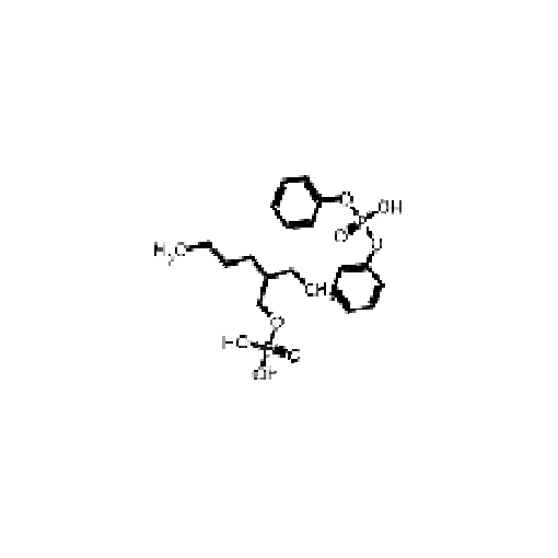 CCCCC(CC)COP(=O)(O)O.O=P(O)(Oc1ccccc1)Oc1ccccc1